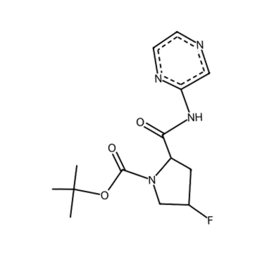 CC(C)(C)OC(=O)N1CC(F)CC1C(=O)Nc1cnccn1